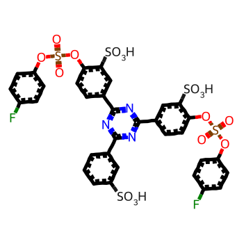 O=S(=O)(Oc1ccc(F)cc1)Oc1ccc(-c2nc(-c3cccc(S(=O)(=O)O)c3)nc(-c3ccc(OS(=O)(=O)Oc4ccc(F)cc4)c(S(=O)(=O)O)c3)n2)cc1S(=O)(=O)O